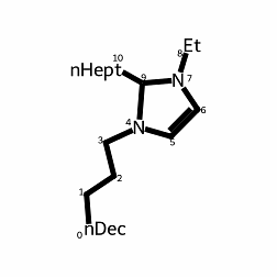 CCCCCCCCCCCCCN1C=CN(CC)C1CCCCCCC